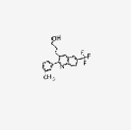 Cc1cccc(-c2nc3ccc(C(F)(F)F)cc3cc2CCCO)c1